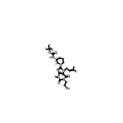 CC(C)=CCn1c(N2CCC[C@@H](NC(=O)OC(C)(C)C)C2)nc2c1c(=O)n(C[CH2][Re])c(=O)n2C